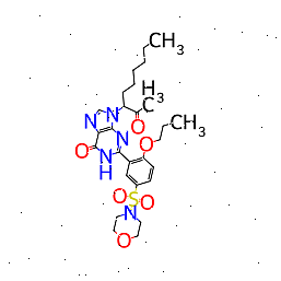 CCCCCCC(C(C)=O)n1cnc2c(=O)[nH]c(-c3cc(S(=O)(=O)N4CCOCC4)ccc3OCCC)nc21